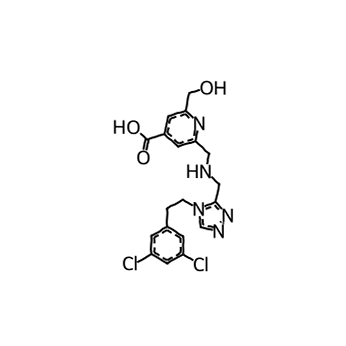 O=C(O)c1cc(CO)nc(CNCc2nncn2CCc2cc(Cl)cc(Cl)c2)c1